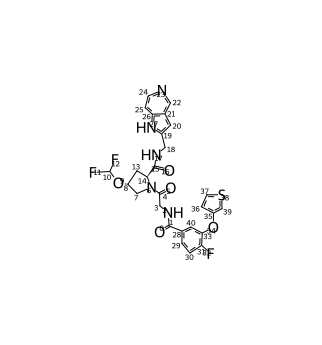 O=C(NCC(=O)N1C[C@H](OC(F)F)C[C@H]1C(=O)NCc1cc2cnccc2[nH]1)c1ccc(F)c(Oc2ccsc2)c1